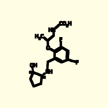 CC(CNC(=O)O)Oc1c(F)cc(F)cc1CN[C@@H]1CCC[C@@H]1O